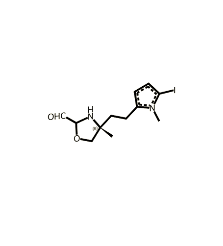 Cn1c(I)ccc1CC[C@]1(C)COC(C=O)N1